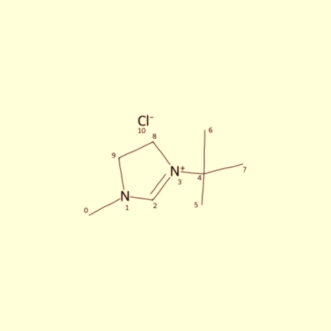 CN1C=[N+](C(C)(C)C)CC1.[Cl-]